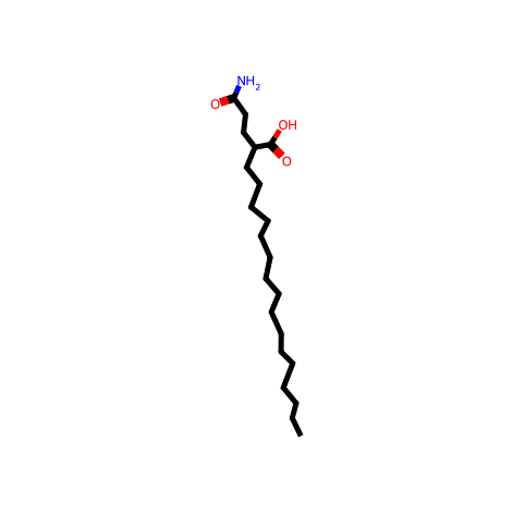 CCCCCCCCCCCCCCCCC(CCC(N)=O)C(=O)O